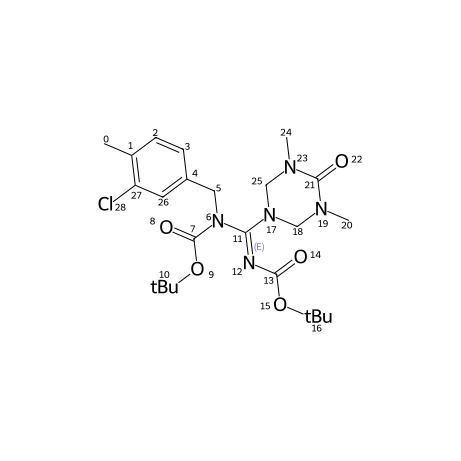 Cc1ccc(CN(C(=O)OC(C)(C)C)/C(=N/C(=O)OC(C)(C)C)N2CN(C)C(=O)N(C)C2)cc1Cl